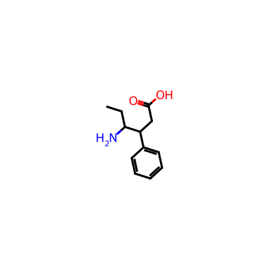 CCC(N)C(CC(=O)O)c1ccccc1